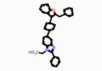 O=C(O)Cn1c(-c2ccccc2)nc2cc(-c3ccc(-c4c(Cc5ccccc5)oc5ccccc45)cc3)ccc21